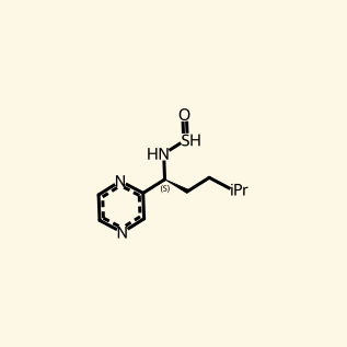 CC(C)CC[C@H](N[SH]=O)c1cnccn1